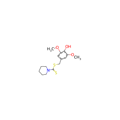 COc1cc(CSC(=S)N2CCCCC2)cc(OC)c1O